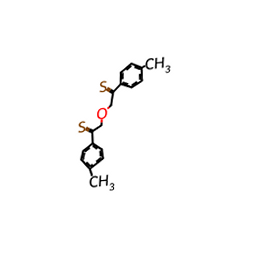 Cc1ccc(C(=S)COCC(=S)c2ccc(C)cc2)cc1